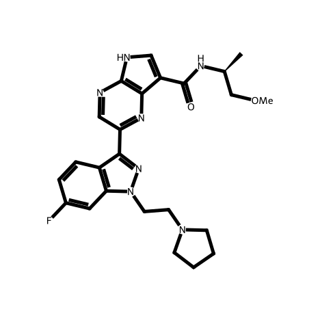 COC[C@H](C)NC(=O)c1c[nH]c2ncc(-c3nn(CCN4CCCC4)c4cc(F)ccc34)nc12